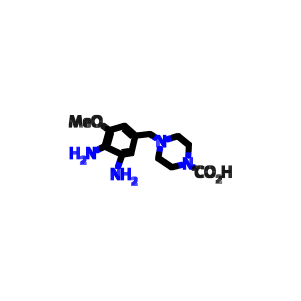 COc1cc(CN2CCN(C(=O)O)CC2)cc(N)c1N